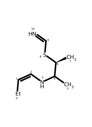 CC/C=C\NC(C)[C@H](C)SC=N